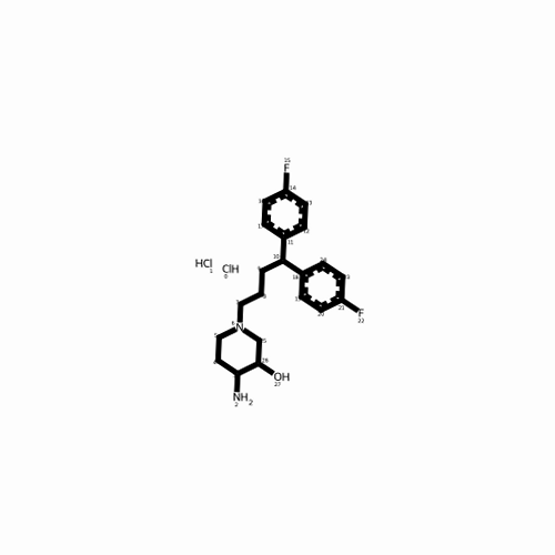 Cl.Cl.NC1CCN(CCCC(c2ccc(F)cc2)c2ccc(F)cc2)CC1O